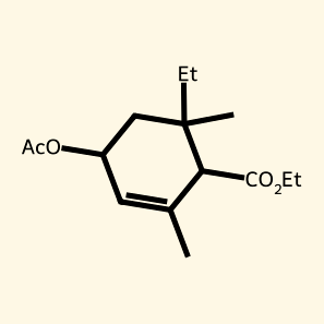 CCOC(=O)C1C(C)=CC(OC(C)=O)CC1(C)CC